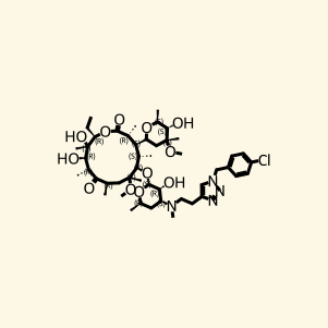 CC[C@H]1OC(=O)[C@H](C)[C@@H](C2C[C@@](C)(OC)[C@@H](O)[C@H](C)O2)[C@H](C)[C@@H](O[C@@H]2O[C@H](C)C[C@H](N(C)CCc3cn(Cc4ccc(Cl)cc4)nn3)[C@H]2O)[C@](C)(OC)C[C@@H](C)C(=O)[C@H](C)[C@@H](O)[C@]1(C)O